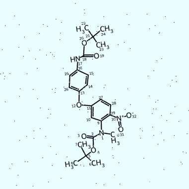 CN(C(=O)OC(C)(C)C)c1cc(Oc2ccc(NC(=O)OC(C)(C)C)cc2)ccc1[N+](=O)[O-]